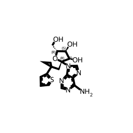 Nc1ncnc2c1ncn2[C@]1(CC2(c3cccs3)CC2)O[C@H](CO)[C@@H](O)[C@H]1O